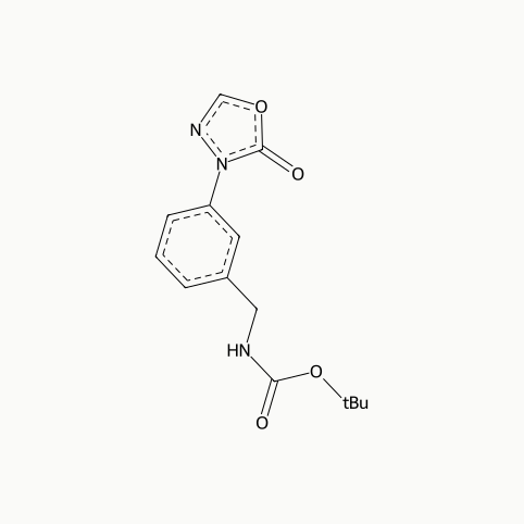 CC(C)(C)OC(=O)NCc1cccc(-n2ncoc2=O)c1